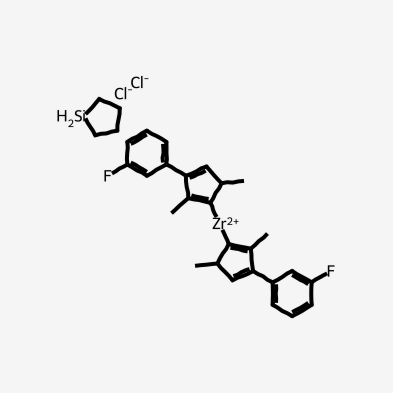 C1CC[SiH2]C1.CC1=[C]([Zr+2][C]2=C(C)C(c3cccc(F)c3)=CC2C)C(C)C=C1c1cccc(F)c1.[Cl-].[Cl-]